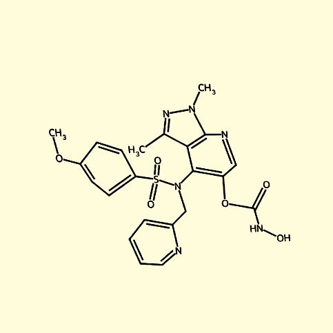 COc1ccc(S(=O)(=O)N(Cc2ccccn2)c2c(OC(=O)NO)cnc3c2c(C)nn3C)cc1